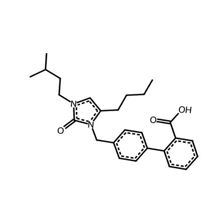 CCCCc1cn(CCC(C)C)c(=O)n1Cc1ccc(-c2ccccc2C(=O)O)cc1